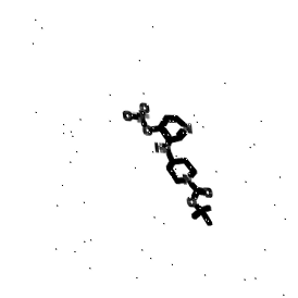 CC(C)(C)OC(=O)N1CCC(Nc2cnccc2O[N+](=O)[O-])CC1